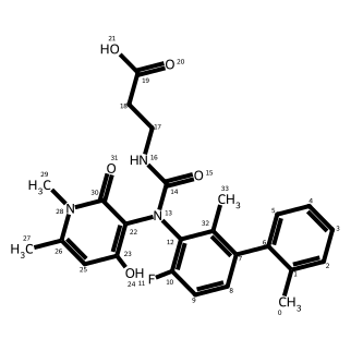 Cc1ccccc1-c1ccc(F)c(N(C(=O)NCCC(=O)O)c2c(O)cc(C)n(C)c2=O)c1C